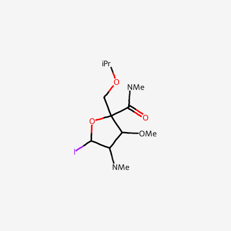 CNC(=O)C1(COC(C)C)OC(I)C(NC)C1OC